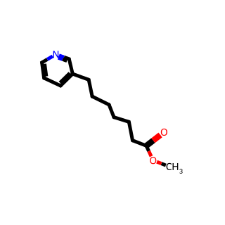 COC(=O)CCCCCCc1cccnc1